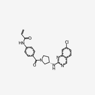 C=CC(=O)Nc1ccc(C(=O)N2CC[C@H](Nc3ncc4ccc(Cl)cc4n3)C2)cc1